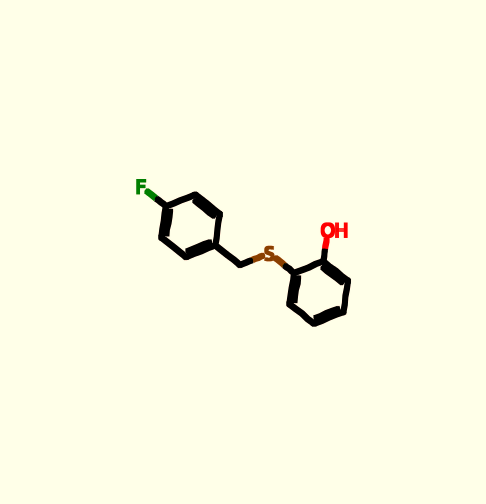 Oc1ccccc1SCc1ccc(F)cc1